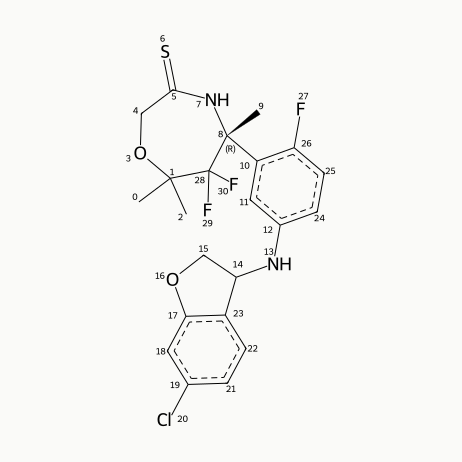 CC1(C)OCC(=S)N[C@](C)(c2cc(NC3COc4cc(Cl)ccc43)ccc2F)C1(F)F